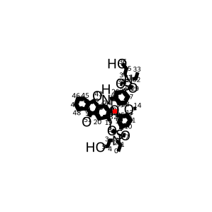 CCN(CCO)S(=O)(=O)c1ccc(OC)c(Nc2c(I)cc3c(c2Nc2cc(S(=O)(=O)N(CC)CCO)ccc2OC)C(=O)c2ccccc2C3=O)c1